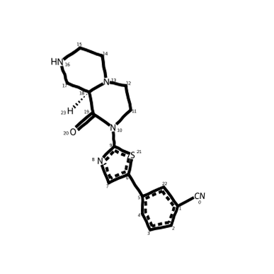 N#Cc1cccc(-c2cnc(N3CCN4CCNC[C@@H]4C3=O)s2)c1